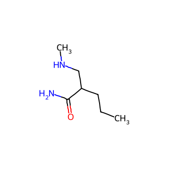 CCCC(CNC)C(N)=O